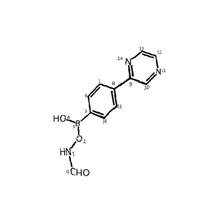 O=CNOB(O)c1ccc(-c2cnccn2)cc1